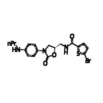 CCCNc1ccc(N2C[C@H](CNC(=O)c3ccc(Br)s3)OC2=O)cc1